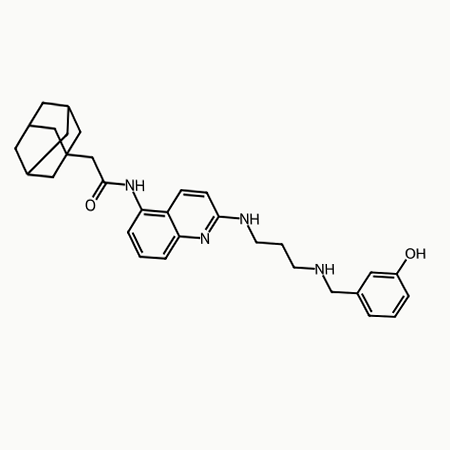 O=C(CC12CC3CC(CC(C3)C1)C2)Nc1cccc2nc(NCCCNCc3cccc(O)c3)ccc12